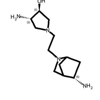 N[C@H]1CC2CC1CN2CCN1C[C@H](N)[C@@H](O)C1